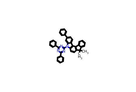 CC1(C)c2ccccc2-c2c1ccc1c2c2ccc(-c3ccccc3)cc2n1-c1nc(-c2ccccc2)nc(-c2ccccc2)n1